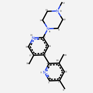 Cc1cnc(-c2cc(N3CCN(C)CC3)ncc2C)c(C)c1